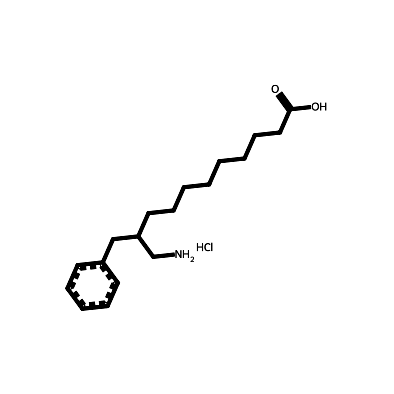 Cl.NCC(CCCCCCCCC(=O)O)Cc1ccccc1